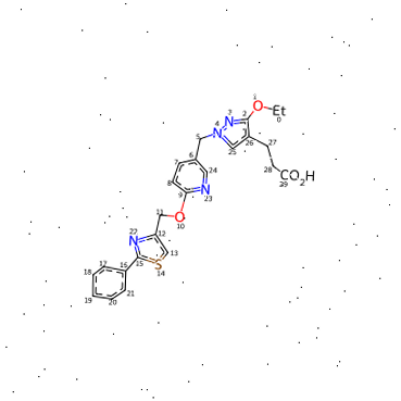 CCOc1nn(Cc2ccc(OCc3csc(-c4ccccc4)n3)nc2)cc1CCC(=O)O